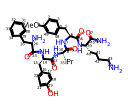 COc1ccc(C[C@H](NC(=O)[C@@H](NC(=O)[C@H](Cc2ccc(O)cc2)NC(=O)[C@@H](N)Cc2ccccc2)C(C)C)C(=O)N[C@@H](CCCCN)C(N)=O)cc1